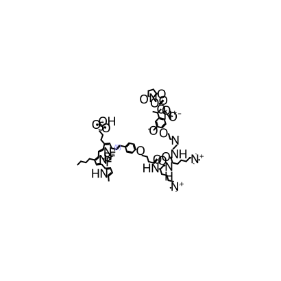 CCCCc1cc(-c2ccc(C)[nH]2)n2c1C=C1C(CCCS(=O)(=O)O)=CC(/C=C/c3ccc(OCCCC(=O)NC(CCCC[N+](C)(C)C)C(=O)NC(CCCC[N+](C)(C)C)C(=O)NCCN(C)CCOc4cc([N+](=O)[O-])c(C(C)OC(=O)ON5C(=O)CCC5=O)cc4OC)cc3)=[N+]1[B-]2(F)F